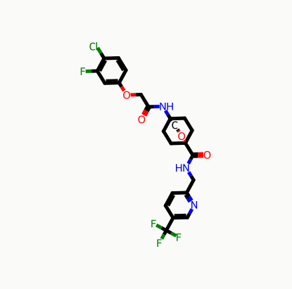 O=C(COc1ccc(Cl)c(F)c1)NC12CCC(C(=O)NCc3ccc(C(F)(F)F)cn3)(CC1)OC2